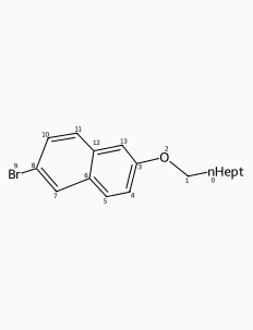 CCCCCCCCOc1ccc2cc(Br)ccc2c1